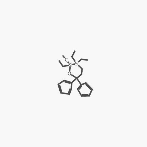 CC[Si]1(CC)CCC(c2ccccc2)(c2ccccc2)O[Si]1(CC)CC